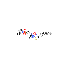 CCCN(CCC)S(=O)(=O)c1ccc(/C=C(\C)C(=O)NC2=NC(c3ccc(OC)cc3)CS2)cc1